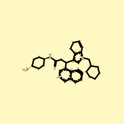 N[C@H]1CC[C@H](NC(=O)CC(c2cn(CC3CCCCC3)c3c2CCC=C3)c2cncc3ccc#cc23)CC1